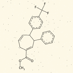 COC(=O)C1=CC(c2ccccc2)C(c2ccc(C(F)(F)F)cc2)C=CC1